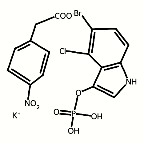 O=C([O-])Cc1ccc([N+](=O)[O-])cc1.O=P(O)(O)Oc1c[nH]c2ccc(Br)c(Cl)c12.[K+]